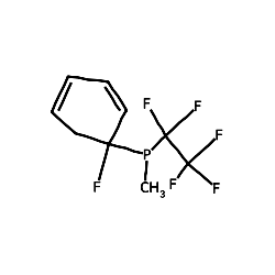 CP(C1(F)C=CC=CC1)C(F)(F)C(F)(F)F